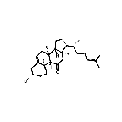 CC(C)=CCC[C@@H](C)[C@H]1CC[C@H]2[C@@H]3CC=C4C[C@@H](O)CC[C@]4(C)[C@H]3C(=O)C[C@]12C